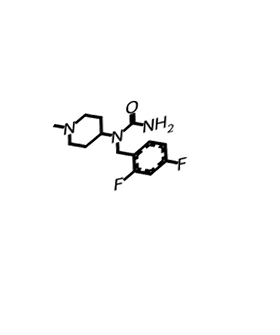 CN1CCC(N(Cc2ccc(F)cc2F)C(N)=O)CC1